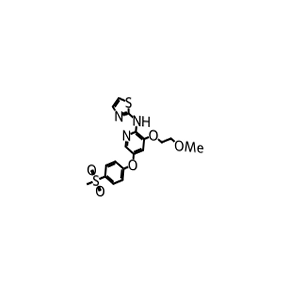 COCCOc1cc(Oc2ccc(S(C)(=O)=O)cc2)cnc1Nc1nccs1